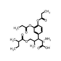 CCC(=O)Oc1ccc(C(C(C)COC(=O)C(C)CC)[C@H](N)C(=O)O)cc1OC(=O)CC